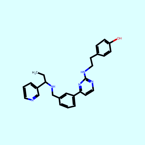 CCC(NCc1cccc(-c2ccnc(NCCc3ccc(O)cc3)n2)c1)c1cccnc1